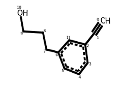 C#Cc1cccc(CCCO)c1